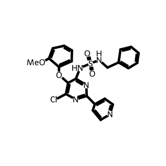 COc1ccccc1Oc1c(Cl)nc(-c2ccncc2)nc1NS(=O)(=O)NCc1ccccc1